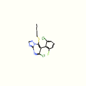 CCCSc1c(-c2c(F)cccc2Cl)c(Cl)nc2ncnn12